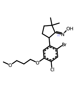 COCCCOc1cc(C2CCC(C)(C)/C2=N\O)c(Br)cc1Cl